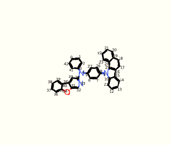 c1ccc(N(c2ccc(-n3c4ccccc4c4ccc5ccccc5c43)cc2)c2cc3c(cn2)oc2ccccc23)cc1